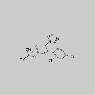 CC(C)OC(=S)SC(Cn1ccnc1)c1ccc(Cl)cc1Cl